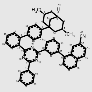 C[C@@H]1C[C@@H]2C[C@H](C)CC(c3ccc(-c4ccccc4-c4nc(-c5ccccc5)nc(-c5cccc(-c6cccc7ccc(C#N)cc67)c5)n4)cc3)(C1)C2